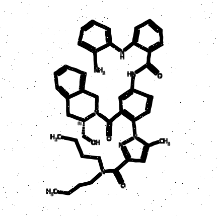 CCCCN(CCCC)C(=O)c1cc(C)n(-c2ccc(NC(=O)c3ccccc3Nc3ccccc3N)cc2C(=O)N2Cc3ccccc3C[C@H]2CO)n1